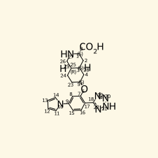 O=C(O)[C@@H]1C[C@H]2C[C@@H](Oc3cc(-n4cccc4)ccc3-c3nn[nH]n3)CC[C@H]2CN1